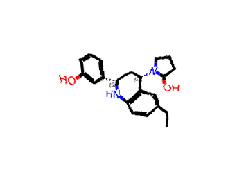 CCc1ccc2c(c1)[C@@H](N1CCCC1O)C[C@@H](c1cccc(O)c1)N2